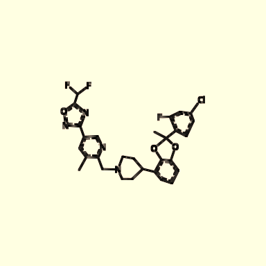 Cc1cc(-c2noc(C(F)F)n2)cnc1CN1CCC(c2cccc3c2OC(C)(c2ccc(Cl)cc2F)O3)CC1